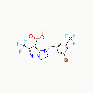 COC(=O)c1c(C(F)(F)F)nn2c1N(Cc1cc(Br)cc(C(F)(F)F)c1)CC2